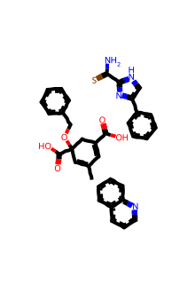 CC1=CC(OCc2ccccc2)(C(=O)O)CC(C(=O)O)=C1.NC(=S)c1nc(-c2ccccc2)c[nH]1.c1ccc2ncccc2c1